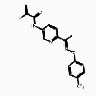 C=C(F)C(=O)Nc1ccc(/C(C)=N/Oc2ccc(C(F)(F)F)cc2)nc1